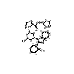 NC(=O)C1=NC=C[SH]1[C@@H]1CC(Cl)C[C@H](n2c(-c3ccccc3F)nc3cnc([C@@H]4CCCO4)cc32)C1